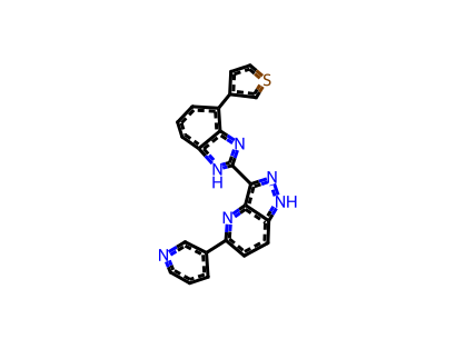 c1cncc(-c2ccc3[nH]nc(-c4nc5c(-c6ccsc6)cccc5[nH]4)c3n2)c1